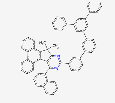 CC1(C)c2nc(-c3cccc(-c4cccc(-c5cc(-c6ccccc6)cc(-c6ccccc6)c5)c4)c3)nc(-c3cccc4ccccc34)c2-c2c1c1ccccc1c1ccccc21